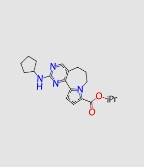 CC(C)OC(=O)c1ccc2n1CCCc1cnc(NC3CCCC3)nc1-2